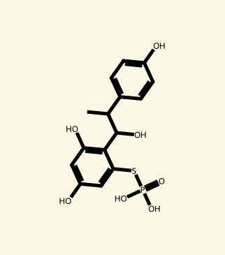 CC(c1ccc(O)cc1)C(O)c1c(O)cc(O)cc1SP(=O)(O)O